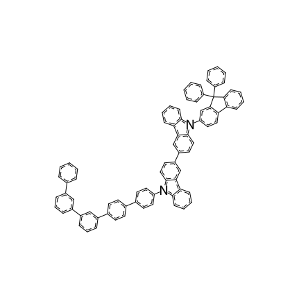 c1ccc(-c2cccc(-c3cccc(-c4ccc(-c5ccc(-n6c7ccccc7c7cc(-c8ccc9c(c8)c8ccccc8n9-c8ccc9c(c8)C(c8ccccc8)(c8ccccc8)c8ccccc8-9)ccc76)cc5)cc4)c3)c2)cc1